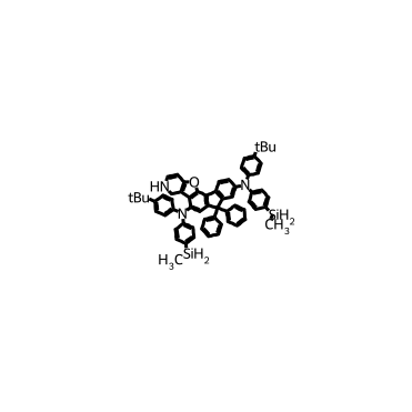 C[SiH2]c1ccc(N(c2ccc(C(C)(C)C)cc2)c2ccc3c(c2)C(c2ccccc2)(c2ccccc2)c2cc(N(c4ccc([SiH2]C)cc4)c4ccc(C(C)(C)C)cc4)c4c5c(oc4c2-3)C=CNC5)cc1